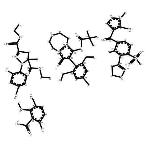 CCOC(=O)C1=NN(c2ccc(Cl)cc2Cl)C(C)(C(=O)OCC)C1.CCc1cc(C)cc(CC)c1-c1c(OC(=O)C(C)(C)C)n2n(c1=O)CCOCC2.COc1c(Cl)ccc(Cl)c1C(=O)O.Cc1c(C(=O)c2cnn(C)c2O)ccc(S(C)(=O)=O)c1C1=NOCC1